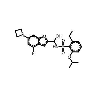 CCc1cccc(OC(C)C)c1S(=O)(=O)NC(O)c1cc2c(F)cc(N3CCC3)cc2o1